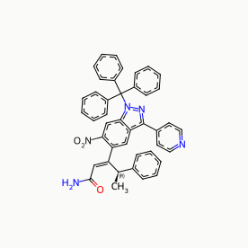 C[C@@H](C(=CC(N)=O)c1cc2c(-c3ccncc3)nn(C(c3ccccc3)(c3ccccc3)c3ccccc3)c2cc1[N+](=O)[O-])c1ccccc1